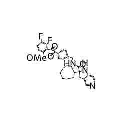 COc1ccc(F)c(F)c1S(=O)(=O)c1ccc(CNC(=O)C2(C3CCCCCCC3)Cc3cnccc3N2)cc1